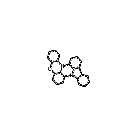 c1ccc2c(c1)oc1cccc3c1-n2c1cccc2c4ccccc4n3c21